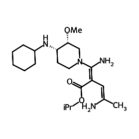 CO[C@@H]1CN(/C(N)=C(/C=C(/C)N)C(=O)OC(C)C)CC[C@@H]1NC1CCCCC1